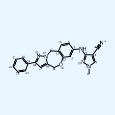 Cn1cc(C#N)c(Nc2ccc3c(c2)OCc2cc(-c4ccccc4)nn2C3)n1